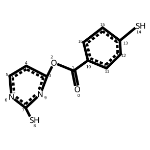 O=C(Oc1ccnc(S)n1)c1ccc(S)cc1